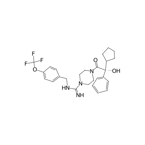 N=C(NCc1ccc(OC(F)(F)F)cc1)N1CCN(C(=O)[C@](O)(c2ccccc2)C2CCCC2)CC1